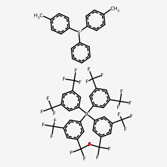 Cc1ccc([S+](c2ccccc2)c2ccc(C)cc2)cc1.FC(F)(F)c1cc([B-](c2cc(C(F)(F)F)cc(C(F)(F)F)c2)(c2cc(C(F)(F)F)cc(C(F)(F)F)c2)c2cc(C(F)(F)F)cc(C(F)(F)F)c2)cc(C(F)(F)F)c1